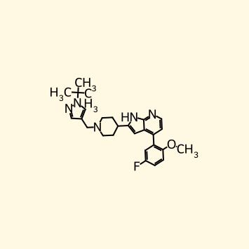 COc1ccc(F)cc1-c1ccnc2[nH]c(C3CCN(Cc4cnn(C(C)(C)C)c4)CC3)cc12